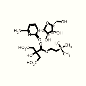 C[N+](C)(C)CCOC(=O)C(O)(CC(=O)O)CC(=O)O.Nc1ccn([C@@H]2O[C@H](CO)[C@@H](O)[C@H]2O)c(=O)n1